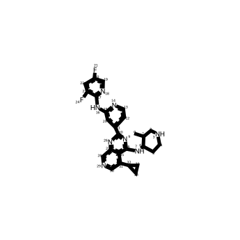 CC1CNCCC1Nc1nc(-c2ccnc(Nc3ncc(F)cc3F)c2)nc2cncc(C3CC3)c12